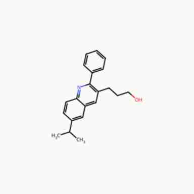 CC(C)c1ccc2nc(-c3ccccc3)c(CCCO)cc2c1